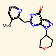 COc1cccnc1Cc1nc2c(cnn2C2CCOCC2)c(=O)[nH]1